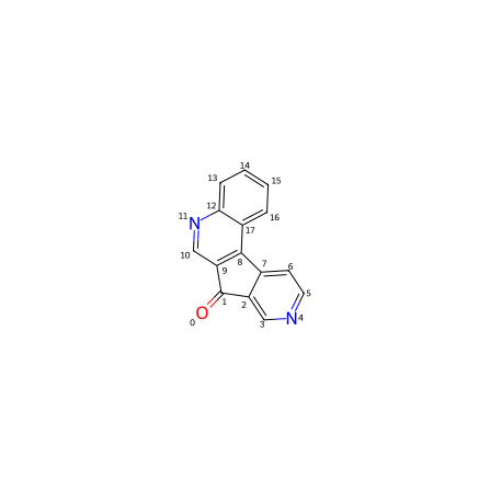 O=C1c2cnccc2-c2c1cnc1ccccc21